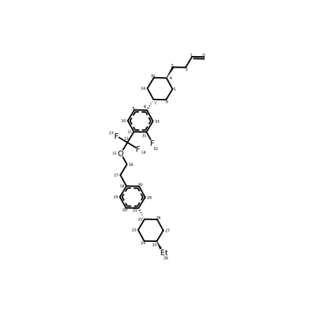 C=CCC[C@H]1CC[C@H](c2ccc(C(F)(F)OCCc3ccc([C@H]4CC[C@H](CC)CC4)cc3)c(F)c2)CC1